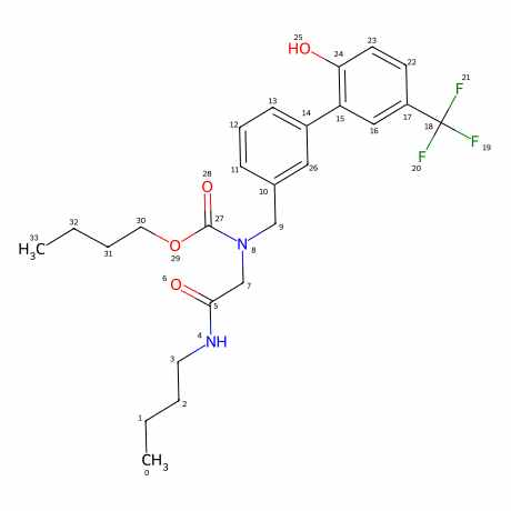 CCCCNC(=O)CN(Cc1cccc(-c2cc(C(F)(F)F)ccc2O)c1)C(=O)OCCCC